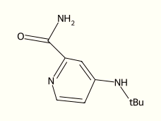 CC(C)(C)Nc1ccnc(C(N)=O)c1